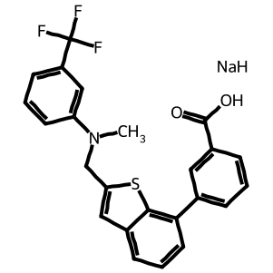 CN(Cc1cc2cccc(-c3cccc(C(=O)O)c3)c2s1)c1cccc(C(F)(F)F)c1.[NaH]